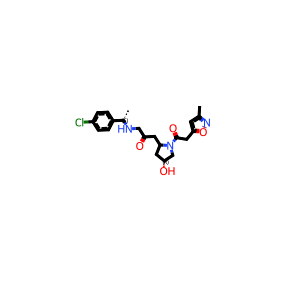 Cc1cc(CC(=O)N2C[C@H](O)CC2CC(=O)CN[C@@H](C)c2ccc(Cl)cc2)on1